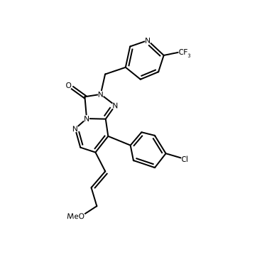 COC/C=C/c1cnn2c(=O)n(Cc3ccc(C(F)(F)F)nc3)nc2c1-c1ccc(Cl)cc1